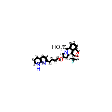 CC(C)(F)[C@H]1Cc2c(cccc2[C@@H](C(=O)O)N2CC[C@@H](OCCCCc3ccc4c(n3)NCCC4)C2)CO1